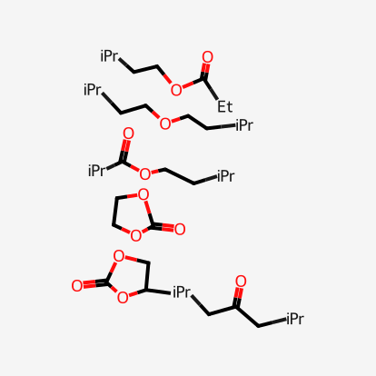 CC(C)CC(=O)CC(C)C.CC(C)CCOC(=O)C(C)C.CC(C)CCOCCC(C)C.CC1COC(=O)O1.CCC(=O)OCCC(C)C.O=C1OCCO1